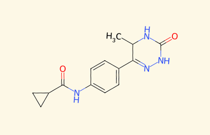 CC1NC(=O)NN=C1c1ccc(NC(=O)C2CC2)cc1